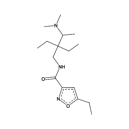 CCc1cc(C(=O)NCC(CC)(CC)C(C)N(C)C)no1